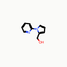 OCc1cccn1-c1ccccn1